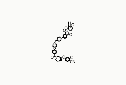 N#Cc1ccc(OC2CC3CCN(C(=O)c4ccc(N5CCN(CC6CCN(c7ccc8c(c7)C(=O)N(C7CCC(=O)NC7=O)C8=O)CC6)CC5)cc4)CC2C3)cc1Cl